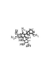 CCOC[C@@H](C)Nc1nc(C)c(-c2nc3c(C)nccc3s2)c(NC2C[C@H](CO)[C@@H](O)[C@H]2O)n1